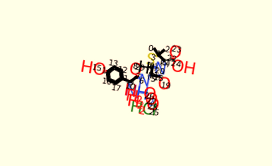 CC1(C)S[C@@H]2[C@H](NC(=O)C(N)c3ccc(O)cc3)C(=O)N2[C@H]1C(=O)O.Cl.O.O.O